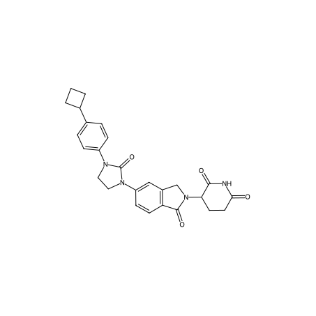 O=C1CCC(N2Cc3cc(N4CCN(c5ccc(C6CCC6)cc5)C4=O)ccc3C2=O)C(=O)N1